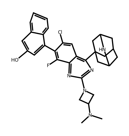 CN(C)C1CN(c2nc(C34CC5CC(C3)NC(C5)C4)c3cc(Cl)c(-c4cc(O)cc5ccccc45)c(F)c3n2)C1